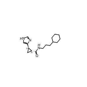 O=C(NCCCC1CCCCC1)[C@@H]1C[C@H]1c1c[nH]cn1